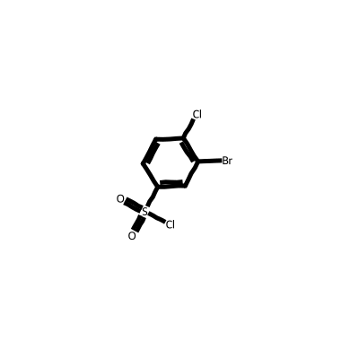 O=S(=O)(Cl)c1ccc(Cl)c(Br)c1